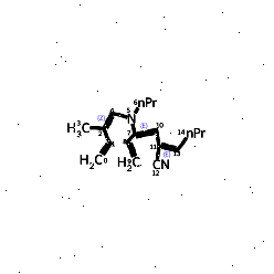 C=C/C(C)=C\N(CCC)/C(C=C)=C/C(C#N)=C\CCC